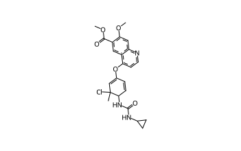 COC(=O)c1cc2c(OC3=CC(C)(Cl)C(NC(=O)NC4CC4)C=C3)ccnc2cc1OC